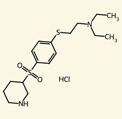 CCN(CC)CCSc1ccc(S(=O)(=O)C2CCCNC2)cc1.Cl